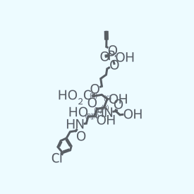 C#CCOP(=O)(O)OCCCCO[C@]1(C(=O)O)C[C@H](O)[C@@H](NC(=O)CO)[C@H]([C@H](O)[C@H](O)CNC(=O)Cc2ccc(Cl)cc2)O1